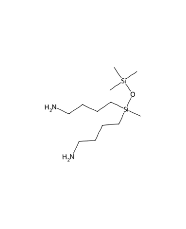 C[Si](C)(C)O[Si](C)(CCCCN)CCCCN